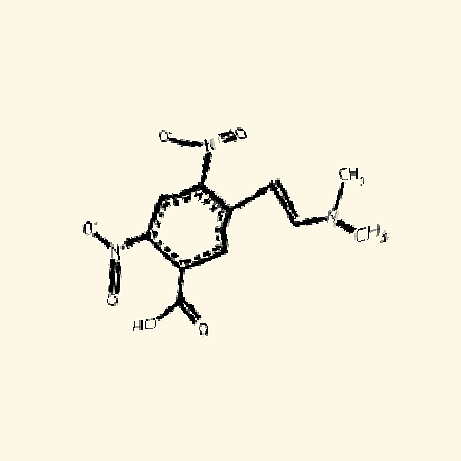 CN(C)/C=C/c1cc(C(=O)O)c([N+](=O)[O-])cc1[N+](=O)[O-]